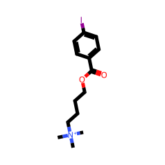 C[N+](C)(C)CCCCOC(=O)c1ccc(I)cc1